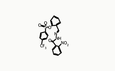 O=C(NN=Cc1ccccc1OS(=O)(=O)c1ccc(C(F)(F)F)cc1)c1ccccc1[N+](=O)[O-]